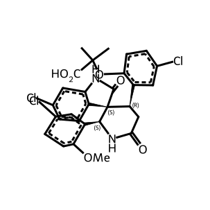 COc1ccc(Cl)cc1[C@@H]1NC(=O)C[C@H](c2cc(Cl)ccc2OC(C)(C)C(=O)O)[C@@]12C(=O)Nc1cc(Cl)ccc12